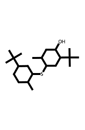 CC1CCC(C(C)(C)C)CC1SC1CC(C(C)(C)C)C(O)CC1C